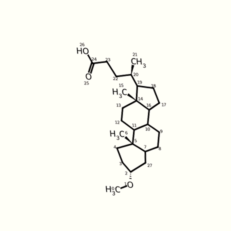 CO[C@@H]1CC[C@@]2(C)C(CCC3C2CC[C@@]2(C)C3CCC2[C@H](C)CCC(=O)O)C1